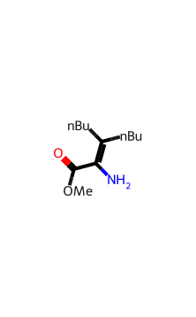 CCCCC(CCCC)=C(N)C(=O)OC